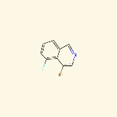 Fc1cccc2cncc(Br)c12